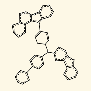 C1=CC(N(c2ccc(-c3ccccc3)cc2)c2ccc3sc4ccccc4c3c2)CC=C1n1c2ccccc2c2ccc3ccccc3c21